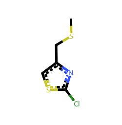 CSCc1csc(Cl)n1